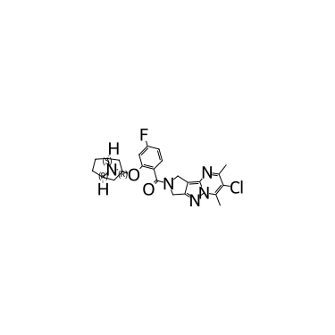 Cc1nc2c3c(nn2c(C)c1Cl)CN(C(=O)c1ccc(F)cc1O[C@H]1C[C@H]2CC[C@@H](C1)N2C)C3